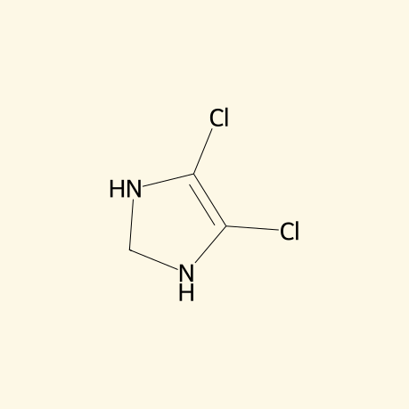 ClC1=C(Cl)NCN1